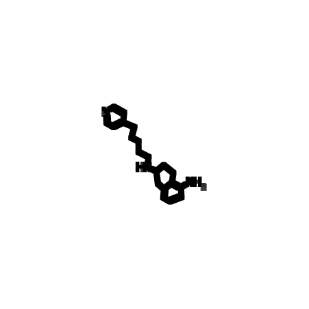 Nc1cccc2c1CCC(NCCCCCc1ccncc1)C2